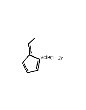 CC=C1C=CC=C1.Cl.Cl.[Zr]